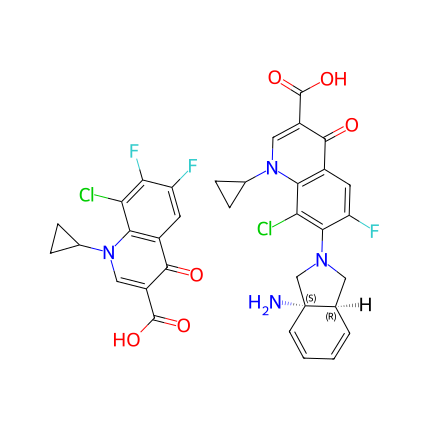 N[C@@]12C=CC=C[C@@H]1CN(c1c(F)cc3c(=O)c(C(=O)O)cn(C4CC4)c3c1Cl)C2.O=C(O)c1cn(C2CC2)c2c(Cl)c(F)c(F)cc2c1=O